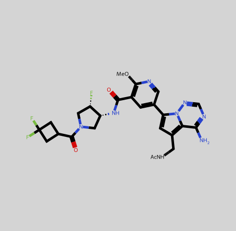 COc1ncc(-c2cc(CNC(C)=O)c3c(N)ncnn23)cc1C(=O)N[C@@H]1CN(C(=O)C2CC(F)(F)C2)C[C@@H]1F